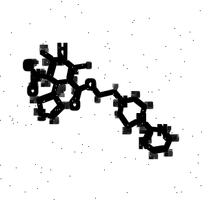 CC1=C(C(=O)OCCN2CCN(c3ncccn3)CC2)C(c2ccsc2)C([N+](=O)[O-])=C(C)N1